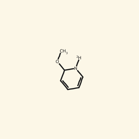 [2H]N1C=CC=CC1OC